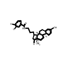 C[C@]12CC[C@@H]3c4ccc(O)cc4CC[C@H]3[C@@H]1C(CCCNC(=O)c1ccc(Cl)c(Cl)c1)CC2=O